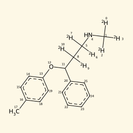 [2H]C([2H])([2H])NC([2H])([2H])C([2H])([2H])C(Oc1ccc(C)cc1)c1ccccc1